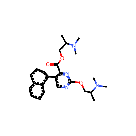 CC(COC(=O)c1nc(OCC(C)N(C)C)ncc1-c1cccc2ccccc12)N(C)C